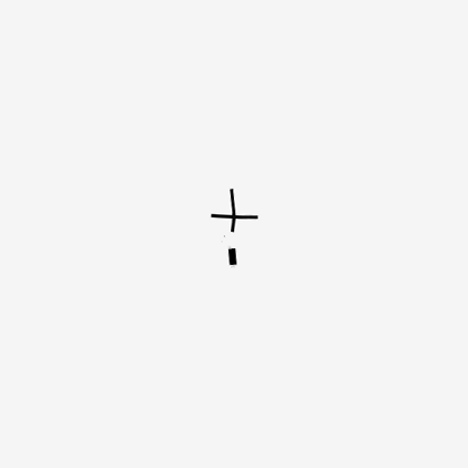 C[C](C)(C)[Al]=[O]